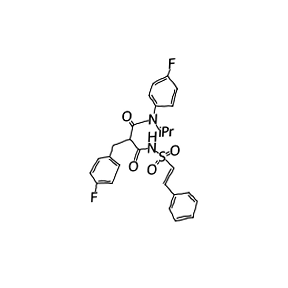 CC(C)N(C(=O)C(Cc1ccc(F)cc1)C(=O)NS(=O)(=O)C=Cc1ccccc1)c1ccc(F)cc1